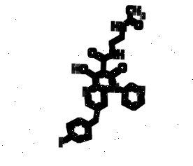 CC(=O)NCCNC(=O)c1c(O)c2ncc(Cc3ccc(F)cc3)cc2n(-c2cccnc2)c1=O